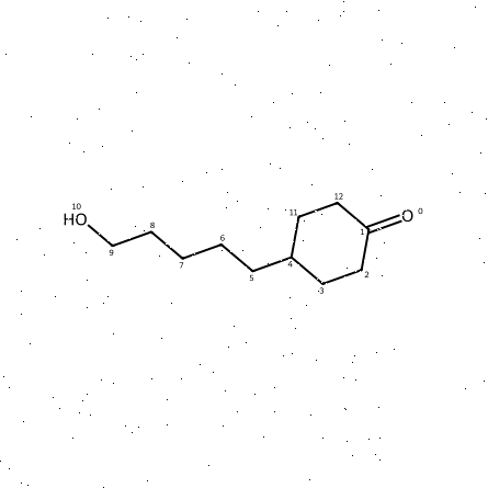 O=C1CCC(CCCCCO)CC1